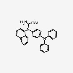 CCCCC(N)N(c1ccc(N(c2ccccc2)c2ccccc2)cc1)c1cccc2ccccc12